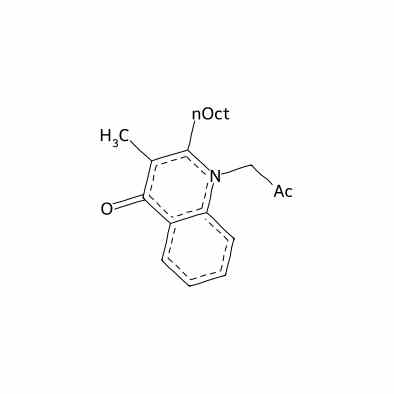 CCCCCCCCc1c(C)c(=O)c2ccccc2n1CC(C)=O